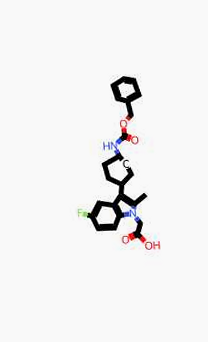 Cc1c(C2CCC(NC(=O)OCc3ccccc3)CC2)c2cc(F)ccc2n1CC(=O)O